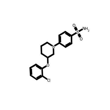 NS(=O)(=O)c1ccc(N2CCCC(Oc3ccccc3Cl)C2)cc1